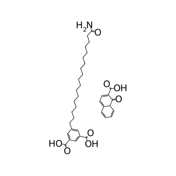 NC(=O)CCCCCCCCCCCCCCCCCc1cc(C(=O)O)cc(C(=O)O)c1.O=C(O)C1=CC=C2C=CC=CC2C1=O